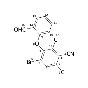 N#Cc1c(Cl)cc(Br)c(Oc2ccccc2C=O)c1Cl